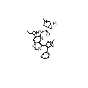 CCOc1cc2ncnc(-c3cn(C)nc3-c3ccccc3)c2nc1NC(=O)[C@@]12C[C@@H]1CN(C)C2